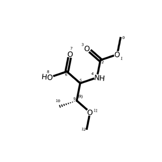 COC(=O)NC(C(=O)O)[C@@H](C)OC